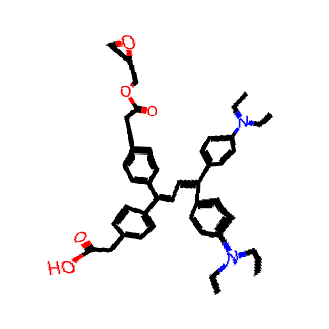 CCN(CC)c1ccc(C(=CC=C(c2ccc(CC(=O)O)cc2)c2ccc(CC(=O)OCC3CO3)cc2)c2ccc(N(CC)CC)cc2)cc1